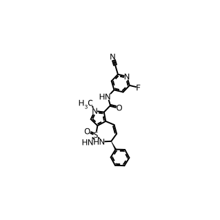 Cn1cc2c(c1C(=O)Nc1cc(F)nc(C#N)c1)C=C[C@@H](c1ccccc1)NS2(=N)=O